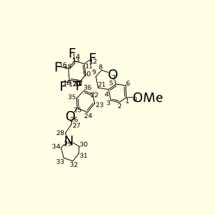 COc1ccc2c(c1)OC[C@@H](c1c(F)c(F)c(F)c(F)c1F)[C@H]2c1ccc(OCCN2CCCCC2)cc1